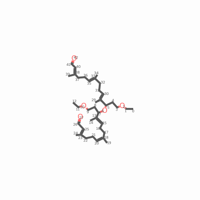 CCOCCC(OC(CCOCC)C(C)=CCCC(C)=CCCC(C)=CC=O)C(C)=CCCC(C)=CCCC(C)=CC=O